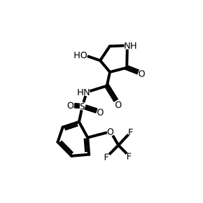 O=C1NCC(O)C1C(=O)NS(=O)(=O)c1ccccc1OC(F)(F)F